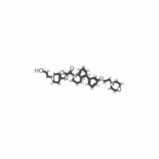 O=C(c1nc2c(o1)CN(CCO)CC2)N1CCCc2c(-c3cccc(OCCN4CCOCC4)c3)cccc21